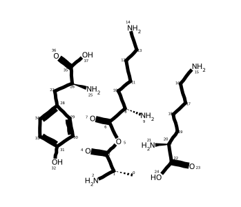 C[C@H](N)C(=O)OC(=O)[C@@H](N)CCCCN.NCCCC[C@H](N)C(=O)O.N[C@@H](Cc1ccc(O)cc1)C(=O)O